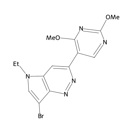 CCn1cc(Br)c2nnc(-c3cnc(OC)nc3OC)cc21